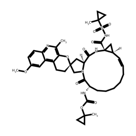 COc1ccc2nc(C)c3c(c2c1)CC[C@]1(C[C@H]2C(=O)N[C@]4(C(=O)NS(=O)(=O)C5(C)CC5)C[C@H]4/C=C\CCCCC[C@H](NC(=O)OC4(C)CC4)C(=O)N2C1)O3